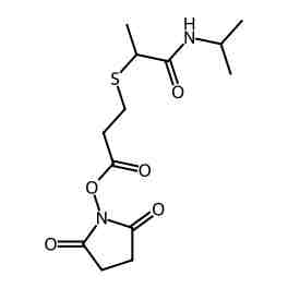 CC(C)NC(=O)C(C)SCCC(=O)ON1C(=O)CCC1=O